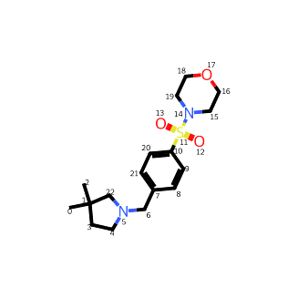 CC1(C)CCN(Cc2ccc(S(=O)(=O)N3CCOCC3)cc2)C1